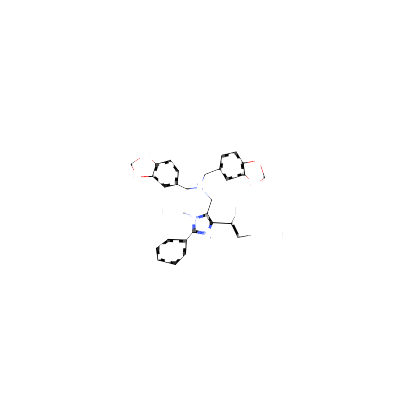 CCCCn1c(-c2ccccc2)nc(/C(=C/C(=O)O)CC)c1CN(Cc1ccc2c(c1)OCO2)Cc1ccc2c(c1)OCO2